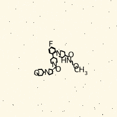 COCCNC(=O)C1CCN(c2cc(F)ccc2C2CCN(C(=O)[C@H]3CCN(C4CCOCC4)C3)CC2)CC1